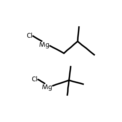 CC(C)[CH2][Mg][Cl].C[C](C)(C)[Mg][Cl]